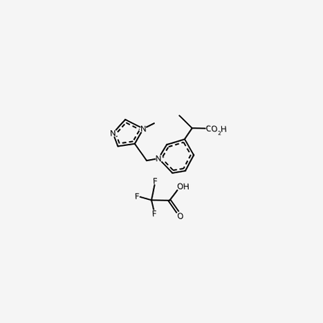 CC(C(=O)O)c1ccc[n+](Cc2cncn2C)c1.O=C(O)C(F)(F)F